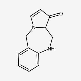 O=C1C=CN2Cc3ccccc3NCC12